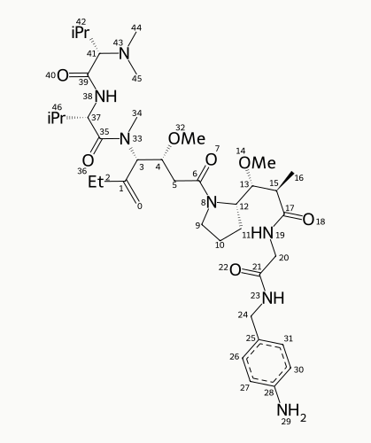 C=C(CC)[C@@H]([C@@H](CC(=O)N1CCC[C@H]1[C@H](OC)[C@@H](C)C(=O)NCC(=O)NCc1ccc(N)cc1)OC)N(C)C(=O)[C@@H](NC(=O)[C@H](C(C)C)N(C)C)C(C)C